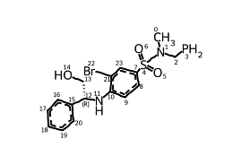 CN(CP)S(=O)(=O)c1ccc(N[C@@H](CO)c2ccccc2)c(Br)c1